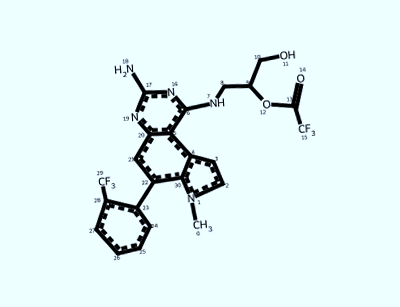 Cn1ccc2c3c(NCC(CO)OC(=O)C(F)(F)F)nc(N)nc3cc(-c3ccccc3C(F)(F)F)c21